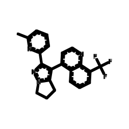 Cc1cccc(-c2nn3c(c2-c2ccnc4c(C(F)(F)F)cccc24)CCC3)n1